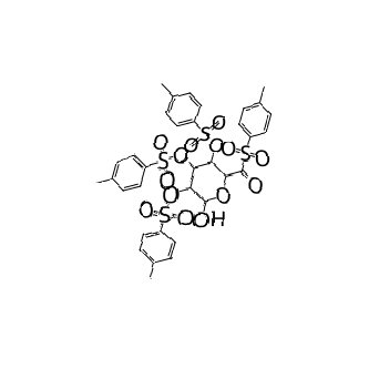 Cc1ccc(S(=O)(=O)OC2C(O)OC(C(=O)S(=O)(=O)c3ccc(C)cc3)C(OS(=O)(=O)c3ccc(C)cc3)C2OS(=O)(=O)c2ccc(C)cc2)cc1